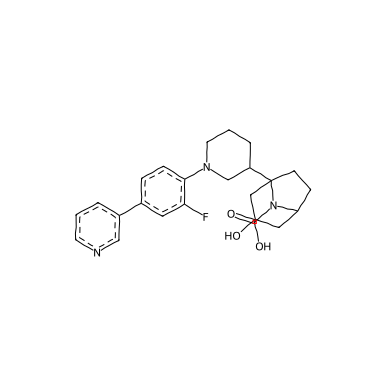 O=C(O)N1C2CCC1(C1CCCN(c3ccc(-c4cccnc4)cc3F)C1)CC(O)C2